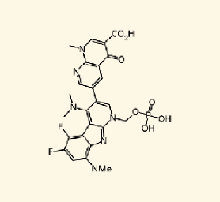 CNc1cc(F)c(F)c2c3c(N(C)C)c(-c4cnc5c(c4)c(=O)c(C(=O)O)cn5C)cn(COP(=O)(O)O)c-3nc12